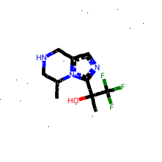 CC1CNCc2cnc(C(C)(O)C(F)(F)F)n21